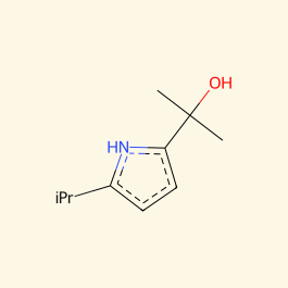 CC(C)c1ccc(C(C)(C)O)[nH]1